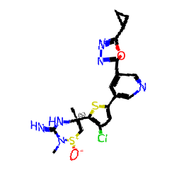 CN1C(=N)N[C@](C)(c2sc(-c3cncc(-c4nnc(C5CC5)o4)c3)cc2Cl)C[S+]1[O-]